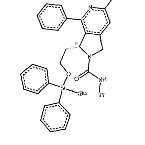 CCOC(=O)c1cc2c(c(-c3ccccc3)n1)[C@@H](CCO[Si](c1ccccc1)(c1ccccc1)C(C)(C)C)N(C(=O)NC(C)C)C2